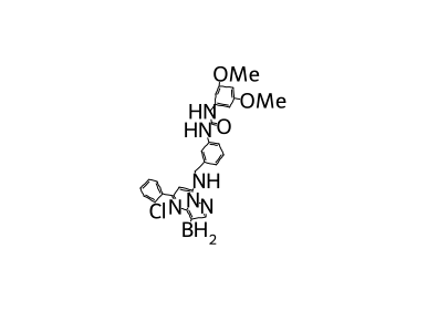 Bc1cnn2c(NCc3cccc(NC(=O)Nc4cc(OC)cc(OC)c4)c3)cc(-c3ccccc3Cl)nc12